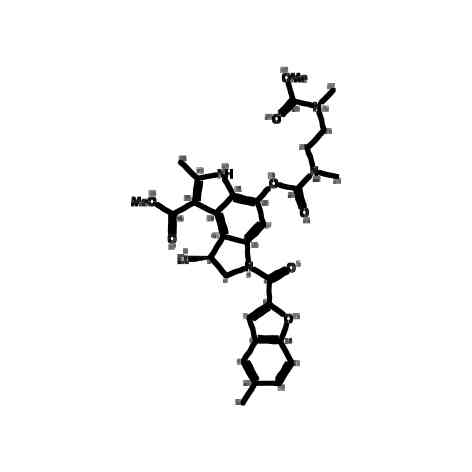 CC[C@@H]1CN(C(=O)c2cc3cc(C)ccc3o2)c2cc(OC(=O)N(C)CCN(C)C(=O)OC)c3[nH]c(C)c(C(=O)OC)c3c21